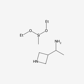 CC(N)C1CNC1.CCO[Si](C)OCC